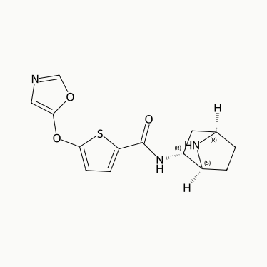 O=C(N[C@@H]1C[C@H]2CC[C@@H]1N2)c1ccc(Oc2cnco2)s1